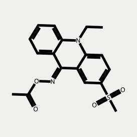 CCn1c2ccccc2/c(=N\OC(C)=O)c2cc(S(C)(=O)=O)ccc21